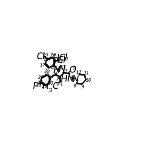 CCC1C(C(=O)NN2CCCCC2)=NN(c2ccc(Cl)cc2Cl)C1c1ccc(F)cc1.Cl